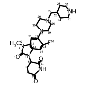 Cn1c(=O)n(C2CCC(=O)NC2=O)c2cc(F)c(N3CCN(CC4CCNCC4)CC3)cc21